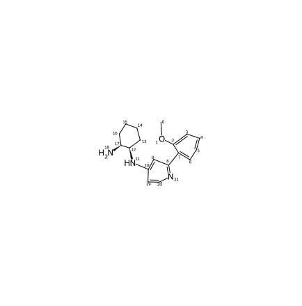 COc1ccccc1-c1cc(N[C@@H]2CCCC[C@@H]2N)c[c]n1